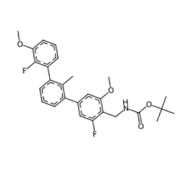 COc1cccc(-c2cccc(-c3cc(F)c(CNC(=O)OC(C)(C)C)c(OC)c3)c2C)c1F